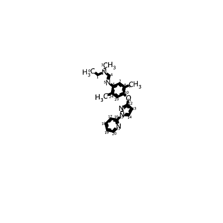 CCN(C)C=Nc1cc(C)c(Oc2ccn(-c3ccccn3)n2)cc1C